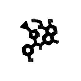 CC(C)(C)CNc1c(C#N)cnc2c(F)cc(NC(c3cccc(C#N)c3)c3cn(C4CC4)nn3)cc12